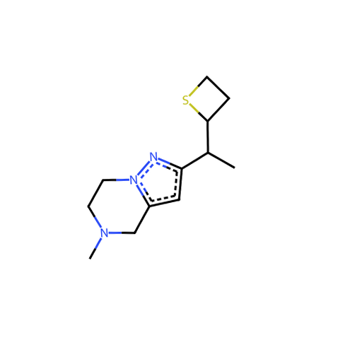 CC(c1cc2n(n1)CCN(C)C2)C1CCS1